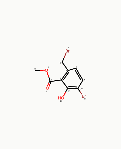 COC(=O)c1c(CBr)ccc(Br)c1O